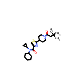 CC(C)(C)CC(=O)N1CCC(c2nc(C(=O)N(C3CCCCC3)C3CC3)cs2)CC1